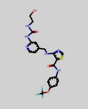 O=C(NCCO)Nc1cc(CNc2ncsc2C(=O)Nc2ccc(OC(F)(F)F)cc2)ccn1